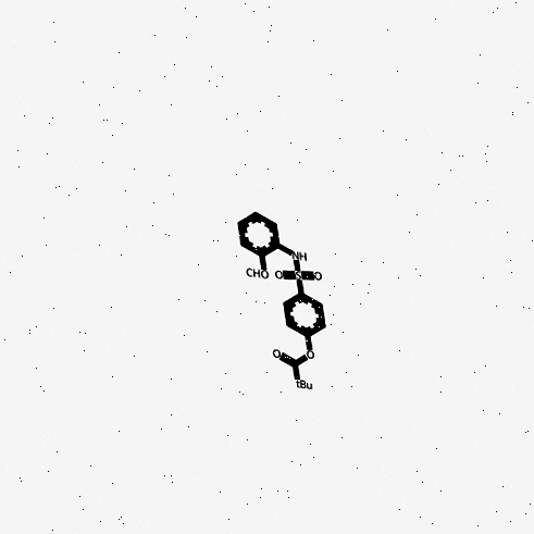 CC(C)(C)C(=O)Oc1ccc(S(=O)(=O)Nc2ccccc2C=O)cc1